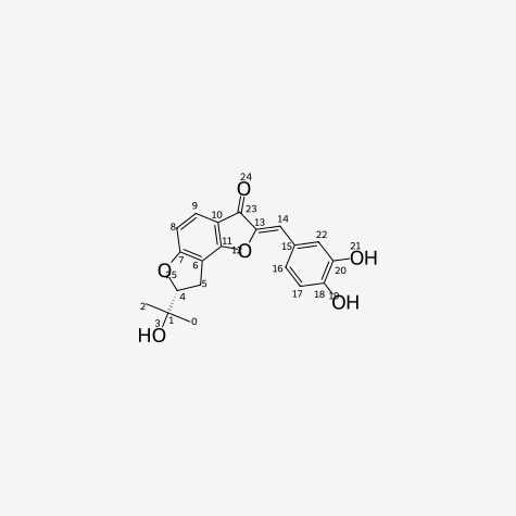 CC(C)(O)[C@H]1Cc2c(ccc3c2O/C(=C\c2ccc(O)c(O)c2)C3=O)O1